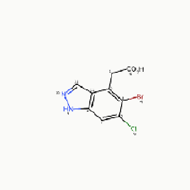 O=C(O)Cc1c(Br)c(Cl)cc2[nH]ncc12